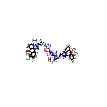 CN(CCNC(=O)CC(=O)NCCN(C)CCn1nc2c3c(cccc31)C(=O)c1c(Cl)cccc1-2)CCn1nc2c3c(cccc31)C(=O)c1c(Cl)cccc1-2